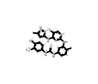 Cc1cc(Nc2nc(Nc3cc(NC(=O)Nc4ccc(Cl)c(C(F)(F)F)c4)ccc3C)ncc2F)n[nH]1